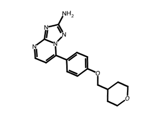 Nc1nc2nccc(-c3ccc(OCC4CCOCC4)cc3)n2n1